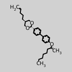 C=CCCC[C@H]1CO[C@H](c2ccc(-c3ccc(O[C@@H](C)CCCCCC)cc3)cc2)OC1